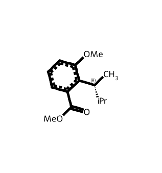 COC(=O)c1cccc(OC)c1[C@H](C)C(C)C